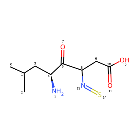 CC(C)C[C@H](N)C(=O)C(CC(=O)O)N=S